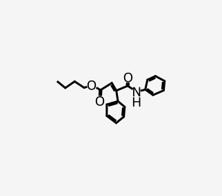 CCCCOC(=O)/C=C(/C(=O)Nc1ccccc1)c1ccccc1